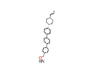 CC=C[C@H]1CC[C@H](c2ccc(-c3ccc(-c4ccc(COCCC)cc4)cc3)cc2)CC1